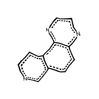 c1cc2c(ccc3nccnc32)cn1